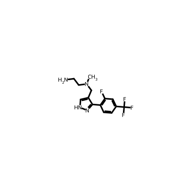 CN(CCN)Cc1c[nH]nc1-c1ccc(C(F)(F)F)cc1F